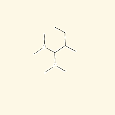 CCC(C)C(N(C)C)N(C)C